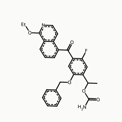 CCOc1nccc2c(C(=O)c3cc(OCc4ccccc4)c(C(C)OC(N)=O)cc3F)cccc12